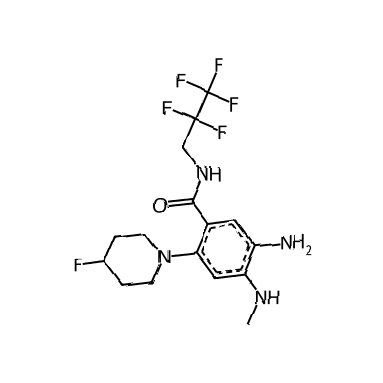 CNc1cc(N2CCC(F)CC2)c(C(=O)NCC(F)(F)C(F)(F)F)cc1N